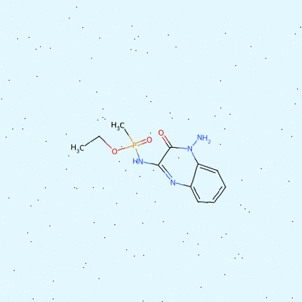 CCOP(C)(=O)Nc1nc2ccccc2n(N)c1=O